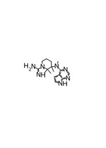 CN(c1ncnc2[nH]ccc12)C1(C)CCCN(C(=N)N)C1(C)C